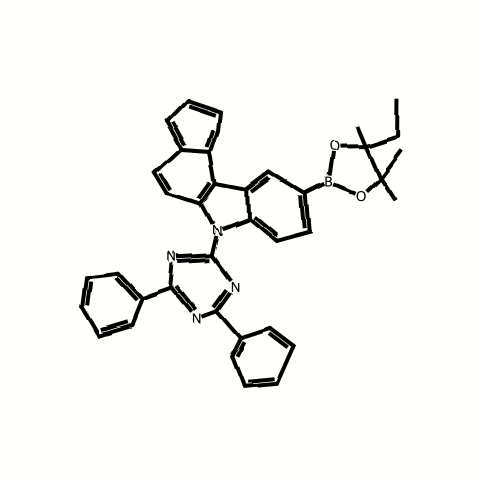 CCC1(C)OB(c2ccc3c(c2)c2c4ccccc4ccc2n3-c2nc(-c3ccccc3)nc(-c3ccccc3)n2)OC1(C)C